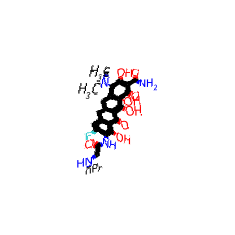 CCCNCC(=O)Nc1c(F)cc2c(c1O)C(=O)C1=C(O)[C@]3(O)C(=O)C(C(N)=O)=C(O)[C@@H](N(C)C)C3CC1C2